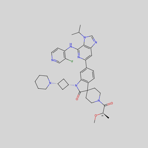 CO[C@H](C)C(=O)N1CCC2(CC1)C(=O)N([C@H]1C[C@@H](N3CCCCC3)C1)c1cc(-c3cc4ncn(C(C)C)c4c(Nc4ccncc4F)n3)ccc12